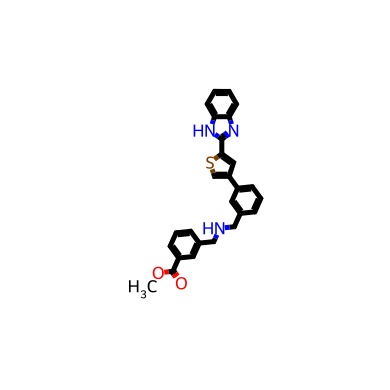 COC(=O)c1cccc(CNCc2cccc(-c3csc(-c4nc5ccccc5[nH]4)c3)c2)c1